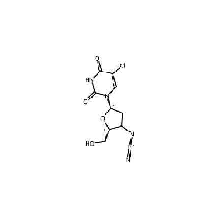 [N-]=[N+]=NC1C[C@H](n2cc(Cl)c(=O)[nH]c2=O)O[C@@H]1CO